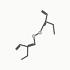 C=CC(=COOC=C(C=C)CC)CC